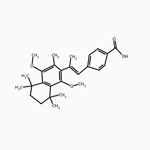 COc1c(C)c(/C(C)=C/c2ccc(C(=O)O)cc2)c(OC)c2c1C(C)(C)CCC2(C)C